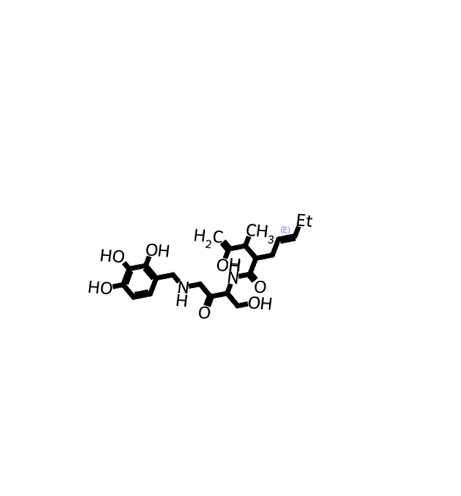 C=C(O)C(C)C(C/C=C/CC)C(=O)NC(CO)C(=O)CNCc1ccc(O)c(O)c1O